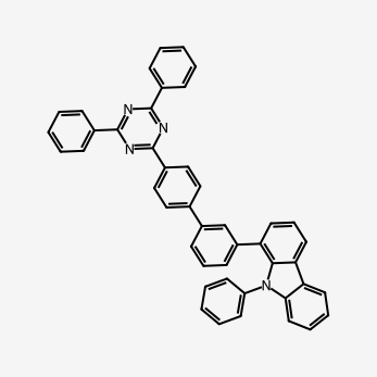 c1ccc(-c2nc(-c3ccccc3)nc(-c3ccc(-c4cccc(-c5cccc6c7ccccc7n(-c7ccccc7)c56)c4)cc3)n2)cc1